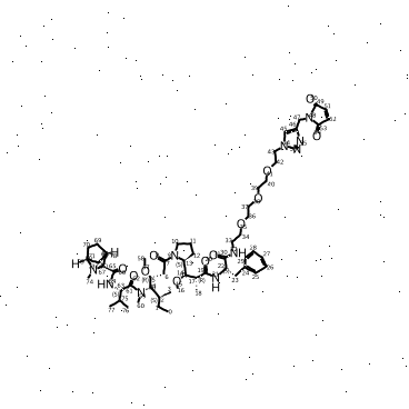 CC[C@H](C)[C@@H]([C@@H](CC(=O)N1CCC[C@H]1[C@H](OC)[C@@H](C)C(=O)N[C@@H](Cc1ccccc1)C(=O)NCCOCCOCCOCCn1cc(CN2C(=O)C=CC2=O)nn1)OC)N(C)C(=O)[C@@H](NC(=O)[C@@H]1[C@H]2CC[C@H](C2)N1C)C(C)C